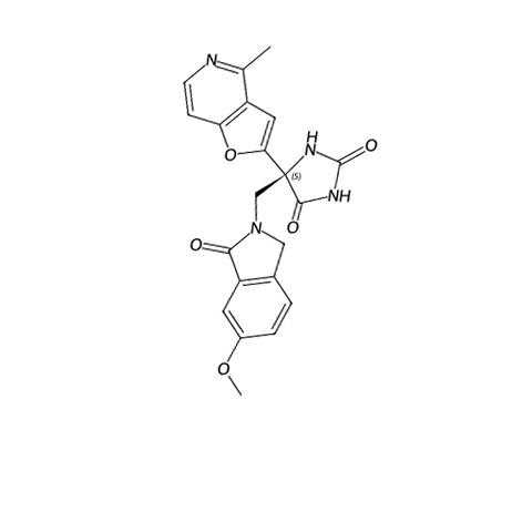 COc1ccc2c(c1)C(=O)N(C[C@@]1(c3cc4c(C)nccc4o3)NC(=O)NC1=O)C2